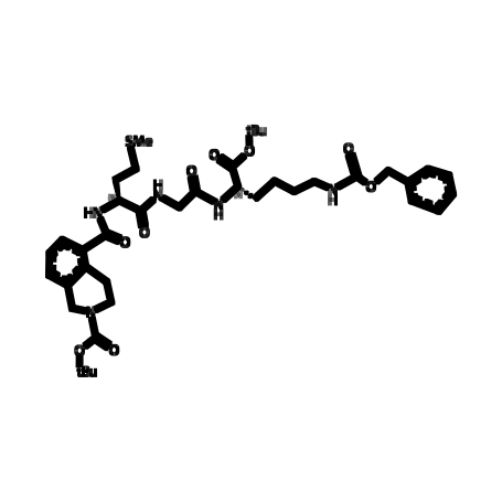 CSCC[C@H](NC(=O)c1cccc2c1CCN(C(=O)OC(C)(C)C)C2)C(=O)NCC(=O)N[C@@H](CCCCNC(=O)OCc1ccccc1)C(=O)OC(C)(C)C